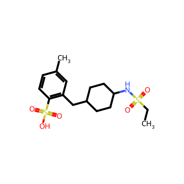 CCS(=O)(=O)NC1CCC(Cc2cc(C)ccc2S(=O)(=O)O)CC1